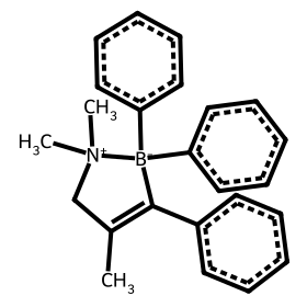 CC1=C(c2ccccc2)[B-](c2ccccc2)(c2ccccc2)[N+](C)(C)C1